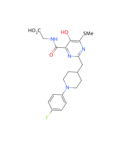 CSc1nc(CC2CCN(c3ccc(F)cc3)CC2)nc(C(=O)NCC(=O)O)c1O